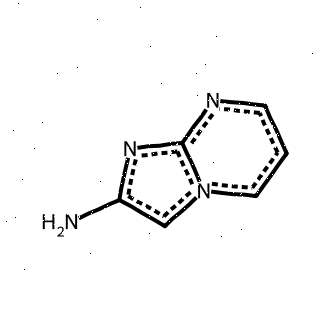 Nc1cn2cccnc2n1